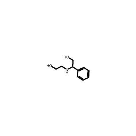 OCCNC(CO)c1ccccc1